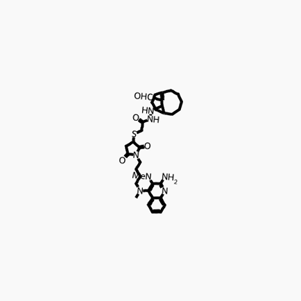 CNc1c(N)nc2ccccc2c1N(C)CCCCN1C(=O)CC(SCC(=O)NNC2C(C=O)=C3CCCCCC2CCC3)C1=O